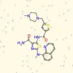 CN1CCN(Cc2cc(C(=O)Nc3sc(N(C)c4cccc5cccnc45)nc3C(N)=O)cs2)CC1